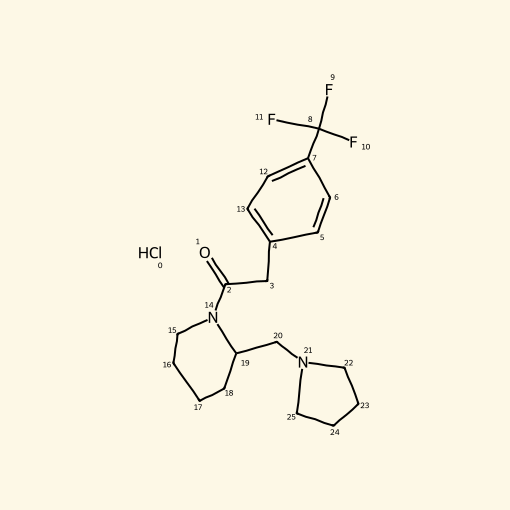 Cl.O=C(Cc1ccc(C(F)(F)F)cc1)N1CCCCC1CN1CCCC1